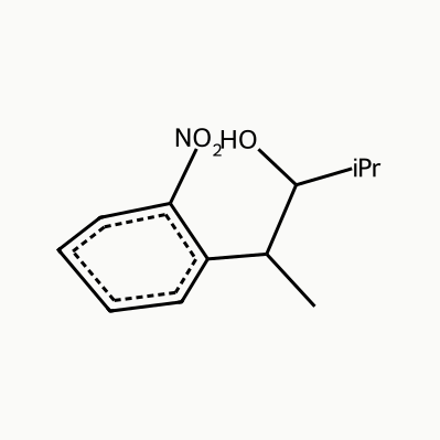 CC(C)C(O)C(C)c1ccccc1[N+](=O)[O-]